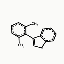 Cc1cccc(C)c1C1=C[C]c2ccccc21